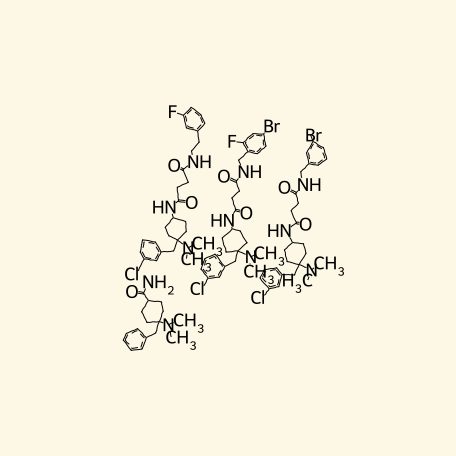 CN(C)C1(Cc2cccc(Cl)c2)CCC(NC(=O)CCC(=O)NCCc2cccc(F)c2)CC1.CN(C)C1(Cc2cccc(Cl)c2)CCC(NC(=O)CCC(=O)NCc2ccc(Br)cc2F)CC1.CN(C)C1(Cc2cccc(Cl)c2)CCC(NC(=O)CCC(=O)NCc2cccc(Br)c2)CC1.CN(C)C1(Cc2ccccc2)CCC(C(N)=O)CC1